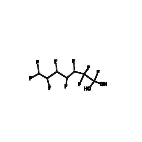 OC(O)(F)C(F)(F)C(F)C(F)C(F)C(F)C(F)F